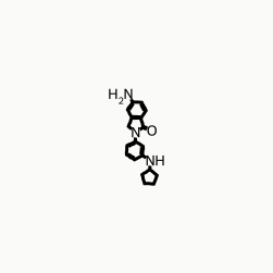 Nc1ccc2c(c1)CN(c1cccc(NC3CCCC3)c1)C2=O